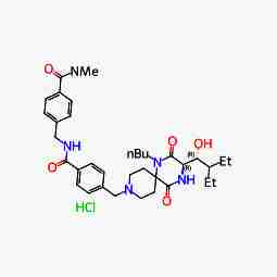 CCCCN1C(=O)[C@@H]([C@H](O)C(CC)CC)NC(=O)C12CCN(Cc1ccc(C(=O)NCc3ccc(C(=O)NC)cc3)cc1)CC2.Cl